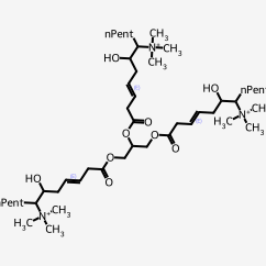 CCCCCC(C(O)C/C=C/CC(=O)OCC(COC(=O)C/C=C/CC(O)C(CCCCC)[N+](C)(C)C)OC(=O)C/C=C/CC(O)C(CCCCC)[N+](C)(C)C)[N+](C)(C)C